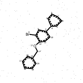 Brc1cc(-c2ccccc2)ccc1OCc1ccccc1